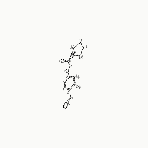 O=Cc1ccc(OCC(=O)N2CCCC2)cc1